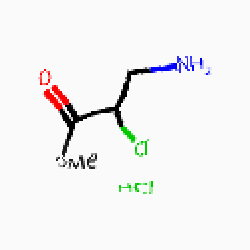 COC(=O)C(Cl)CN.Cl